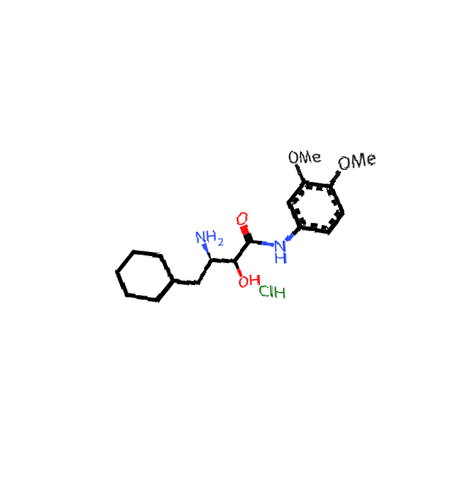 COc1ccc(NC(=O)C(O)[C@H](N)CC2CCCCC2)cc1OC.Cl